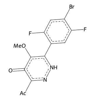 COc1c(-c2cc(F)c(Br)cc2F)[nH]nc(C(C)=O)c1=O